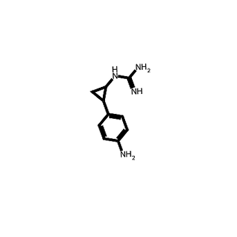 N=C(N)NC1CC1c1ccc(N)cc1